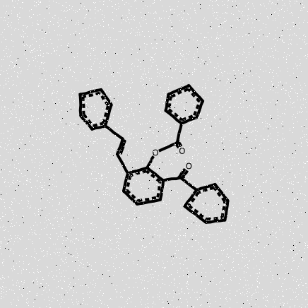 O=C(Oc1c(C=Cc2ccccc2)cccc1C(=O)c1ccccc1)c1ccccc1